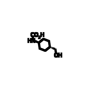 O=C(O)N[C@H]1CC[C@H](CO)CC1